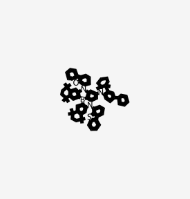 CC1(C)CCC(C)(C)c2cc3c(cc21)B1c2cc4c(cc2N(c2cccc5c2sc2ccccc25)c2cc(N5c6ccc(-c7ccccc7)cc6C6(C)CCCCC56C)cc(c21)N3c1cccc2c1oc1ccccc12)C(C)(C)CCC4(C)C